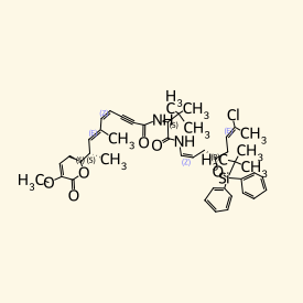 COC1=CC[C@@H]([C@@H](C)/C=C(C)/C=C\C#CC(=O)N[C@H](C(=O)N/C=C\C[C@H](C/C=C(\C)Cl)O[Si](c2ccccc2)(c2ccccc2)C(C)(C)C)C(C)(C)C)OC1=O